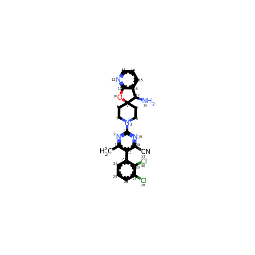 Cc1nc(N2CCC3(CC2)Oc2ncccc2C3N)nc(C#N)c1-c1cccc(Cl)c1Cl